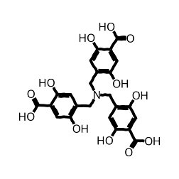 O=C(O)c1cc(O)c(CN(Cc2cc(O)c(C(=O)O)cc2O)Cc2cc(O)c(C(=O)O)cc2O)cc1O